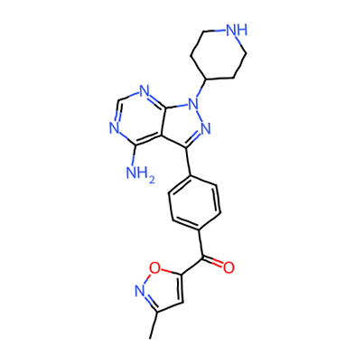 Cc1cc(C(=O)c2ccc(-c3nn(C4CCNCC4)c4ncnc(N)c34)cc2)on1